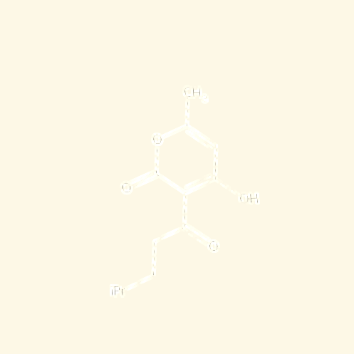 Cc1cc(O)c(C(=O)CCC(C)C)c(=O)o1